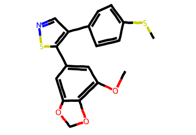 COc1cc(-c2sncc2-c2ccc(SC)cc2)cc2c1OCO2